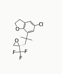 CC(C)(C[C@]1(C(F)(F)F)CO1)c1cc(Cl)cc2c1OCC2